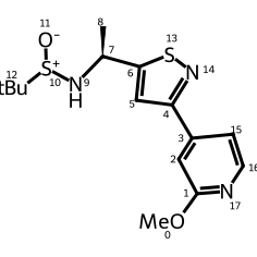 COc1cc(-c2cc([C@H](C)N[S+]([O-])C(C)(C)C)sn2)ccn1